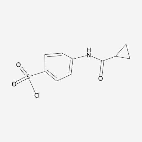 O=C(Nc1ccc(S(=O)(=O)Cl)cc1)C1CC1